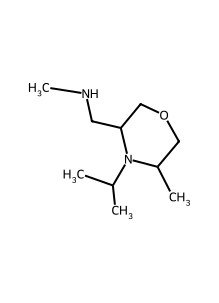 CNCC1COCC(C)N1C(C)C